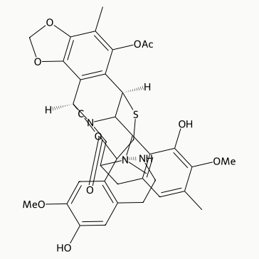 COc1cc2c(cc1O)CCN[C@]21CS[C@@H]2c3c(OC(C)=O)c(C)c4c(c3[C@H](COC1=O)N1CC3Cc5cc(C)c(OC)c(O)c5C(C21)N3C)OCO4